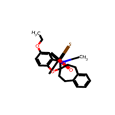 CCOc1ccc2c(c1)C1(NC(=S)N(C)C1=O)C1(CCc3ccccc3CC1)O2